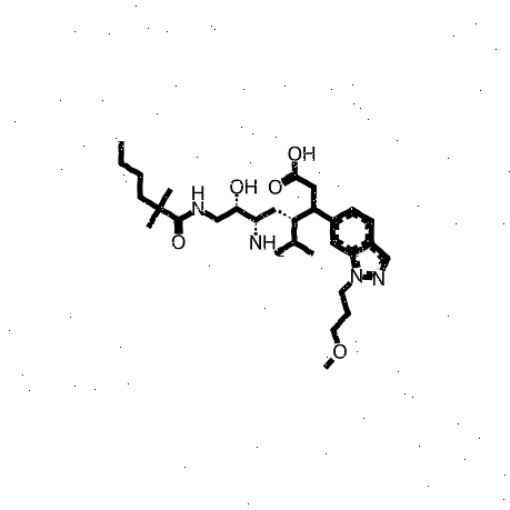 CCCCC(C)(C)C(=O)NC[C@H](O)[C@@H](N)C[C@@H](C(C)C)C(CC(=O)O)c1ccc2cnn(CCCOC)c2c1